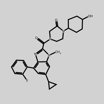 Cn1c(C(=O)N2CCN(C3CCC(O)CC3)C(=O)C2)nc2c(-c3ccccc3F)cc(C3CC3)cc21